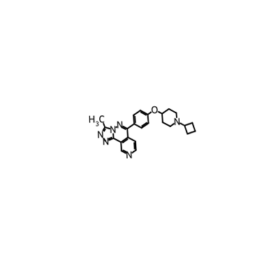 Cc1nnc2c3cnccc3c(-c3ccc(OC4CCN(C5CCC5)CC4)cc3)nn12